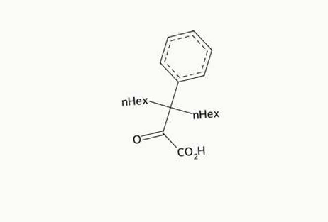 CCCCCCC(CCCCCC)(C(=O)C(=O)O)c1ccccc1